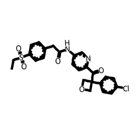 CCS(=O)(=O)c1ccc(CC(=O)Nc2ccc(C(=O)C3(c4ccc(Cl)cc4)COC3)nc2)cc1